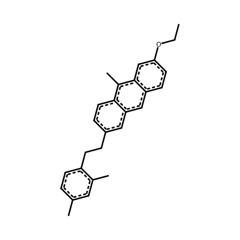 CCOc1ccc2cc3cc(CCc4ccc(C)cc4C)ccc3c(C)c2c1